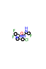 O=C(Cc1c[nH]c2ccc(F)cc12)NC(Cc1cc(F)cc(F)c1)c1ncccc1-c1ccc(Cl)cc1